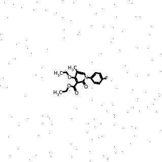 CCOC(=O)c1c(OCC)c(C)cn(-c2ccc(F)cc2)c1=O